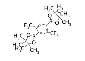 CC1(C)OB(c2cc(C(F)(F)F)c(B3OC(C)(C)C(C)(C)O3)cc2C(F)(F)F)OC1(C)C